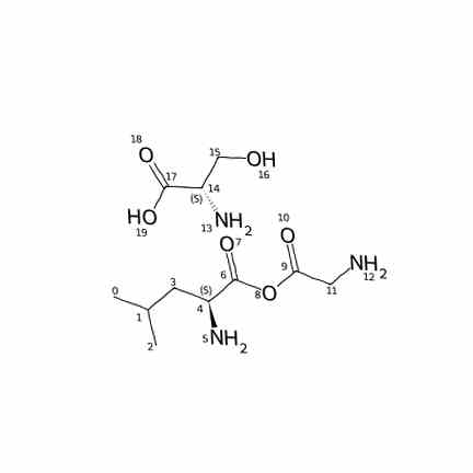 CC(C)C[C@H](N)C(=O)OC(=O)CN.N[C@@H](CO)C(=O)O